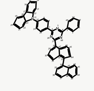 c1ccc(-c2nc(-c3ccc(-n4c5ccccc5c5ccccc54)cc3)nc(-c3cccc4c(-c5cccc6ccccc56)cccc34)n2)cc1